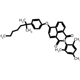 CCCCCC(C)(C)c1ccc(Oc2ccc3c4c(cccc24)C(=O)N(c2c(C)cc(C)cc2C)C3=O)cc1